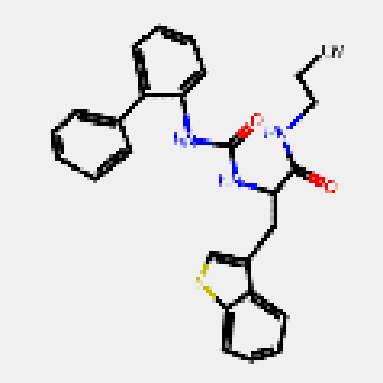 N#CCCNC(=O)C(Cc1csc2ccccc12)NC(=O)Nc1ccccc1-c1ccccc1